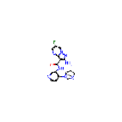 Nc1nn2cc(F)cnc2c1C(=O)Nc1cnccc1N1CCN2CCC1CC2